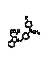 CN(c1ccc(F)cc1)c1ccc(Cn2cc(CC(=O)O)c3ccccc32)cc1